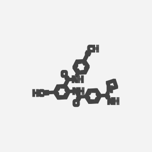 C#Cc1ccc(NC(=O)c2cc(C#C)ccc2NC(=O)c2ccc(C(=N)N3CCC3)cc2)cc1